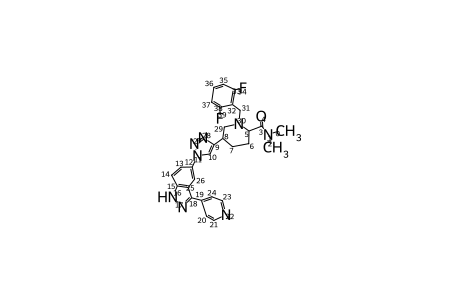 CN(C)C(=O)C1CCC(c2cn(-c3ccc4[nH]nc(-c5ccncc5)c4c3)nn2)CN1Cc1c(F)cccc1F